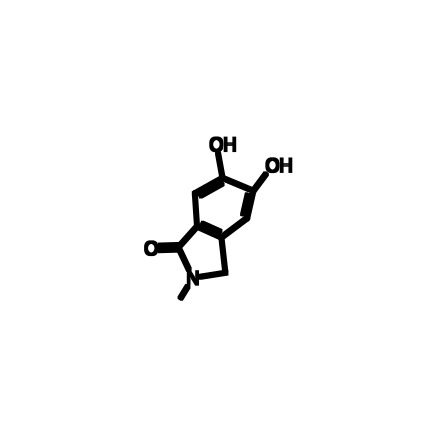 CN1Cc2cc(O)c(O)cc2C1=O